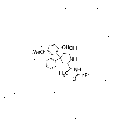 CCCC(=O)NC(C)C1CC(c2ccccc2)(c2cc(OC)ccc2O)CCN1.Cl